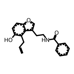 C=CCc1c(O)ccc2occ(CCNC(=O)c3ccccc3)c12